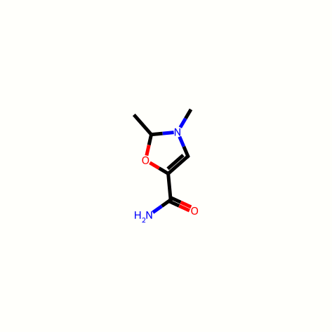 CC1OC(C(N)=O)=CN1C